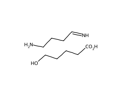 N=CCCCN.O=C(O)CCCCO